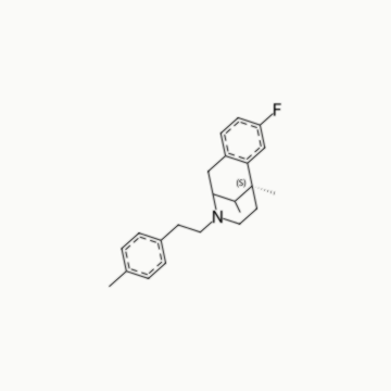 Cc1ccc(CCN2CC[C@]3(C)c4cc(F)ccc4CC2C3C)cc1